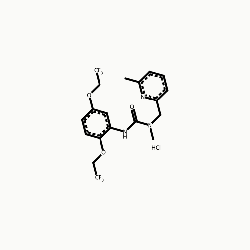 Cc1cccc(CN(C)C(=O)Nc2cc(OCC(F)(F)F)ccc2OCC(F)(F)F)n1.Cl